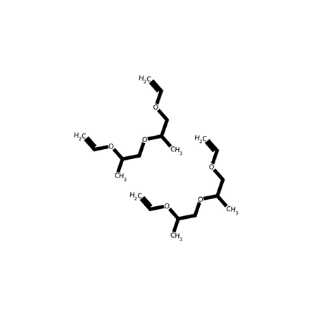 C=COCC(C)OCC(C)OC=C.C=COCC(C)OCC(C)OC=C